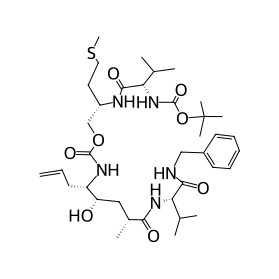 C=CC[C@H](NC(=O)OC[C@H](CCSC)NC(=O)[C@@H](NC(=O)OC(C)(C)C)C(C)C)[C@@H](O)C[C@@H](C)C(=O)N[C@H](C(=O)NCc1ccccc1)C(C)C